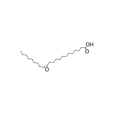 CCCCCCCCC1OC1CCCCCCCCCCCC(=O)O